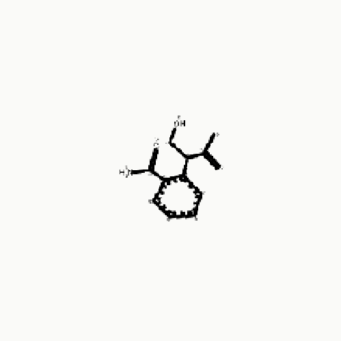 C=C(C)C(CO)c1ccccc1C(N)=O